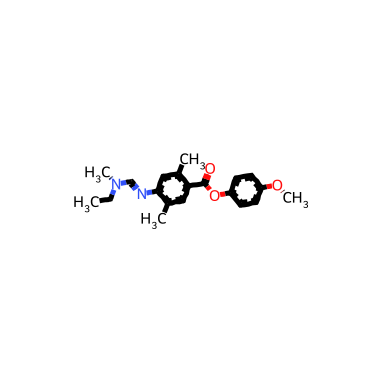 CCN(C)/C=N/c1cc(C)c(C(=O)Oc2ccc(OC)cc2)cc1C